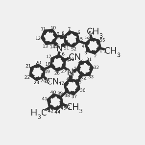 Cc1ccc(-c2ccc3c4ccccc4n(-c4cc(-c5ccccc5C#N)cc(-n5c6ccccc6c6ccc(-c7ccc(C)cc7C)cc65)c4C#N)c3c2)c(C)c1